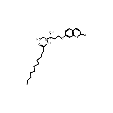 CCCCCCCCCCCC(=O)N[C@@H](CO)[C@H](O)CCOc1ccc2ccc(=O)oc2c1